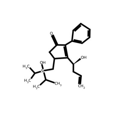 C=CC[C@H](O)C1=C(c2ccccc2)C(=O)CC1C[Si](O)(C(C)C)C(C)C